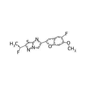 COc1cc2oc(-c3cn4nc([C@H](C)F)sc4n3)cc2cc1F